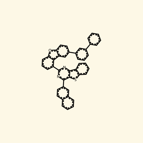 c1ccc(-c2cccc(-c3ccc4oc5cccc(-c6nc(-c7ccc8ccccc8c7)c7sc8ccccc8c7n6)c5c4c3)c2)cc1